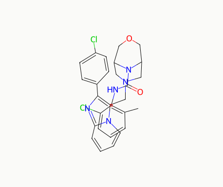 Cc1cccc(Cl)c1NC(=O)N1C2COCC1CN(Cc1c(-c3ccc(Cl)cc3)nc3ccccn13)C2